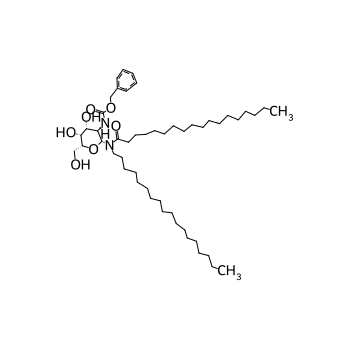 CCCCCCCCCCCCCCCCCCN(C(=O)CCCCCCCCCCCCCCCCC)[C@@H]1O[C@H](CO)[C@H](O)[C@H](O)[C@H]1NC(=O)OCc1ccccc1